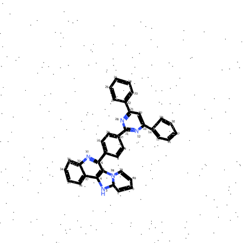 C1=CC2Nc3c(c(-c4ccc(-c5nc(-c6ccccc6)cc(-c6ccccc6)n5)cc4)nc4ccccc34)N2C=C1